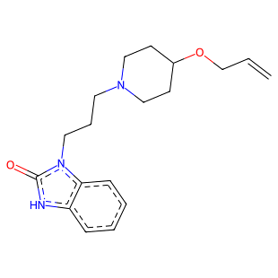 C=CCOC1CCN(CCCn2c(=O)[nH]c3ccccc32)CC1